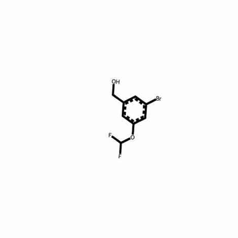 OCc1cc(Br)cc(OC(F)F)c1